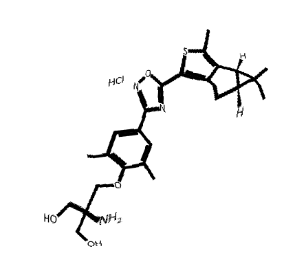 Cc1cc(-c2noc(-c3sc(C)c4c3C[C@@H]3[C@H]4C3(C)C)n2)cc(C)c1OCC(N)(CO)CO.Cl